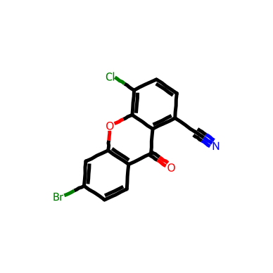 N#Cc1ccc(Cl)c2oc3cc(Br)ccc3c(=O)c12